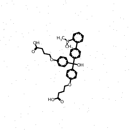 CN(C)c1ccccc1-c1ccc(C(O)(c2ccc(OCCCC(=O)O)cc2)c2ccc(OCCCC(=O)O)cc2)cc1